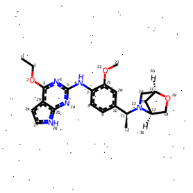 CCOc1nc(Nc2ccc([C@H](C)N3C[C@@H]4C[C@H]3CO4)cc2OC)nc2[nH]ccc12